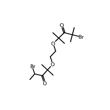 CC(Br)C(=O)C(C)(C)OCCOC(C)(C)C(=O)C(C)(C)Br